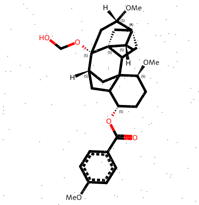 COc1ccc(C(=O)O[C@H]2CC[C@H](OC)C34C[C@H](CC23)[C@@]2(OCO)C[C@H](OC)[C@]35CC4[C@]2(C3)[C@H]5C)cc1